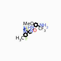 COc1ccc([C@@H](N)C(F)(F)F)cc1NC(=O)N1CCC(c2ccc(C)c(F)c2)(c2ncns2)C1